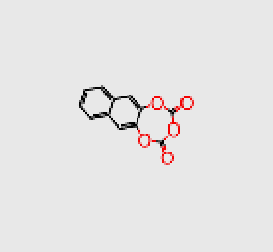 O=C1OC(=O)Oc2cc3ccccc3cc2O1